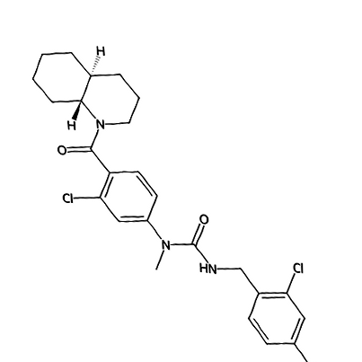 CN(C(=O)NCc1ccc(Cl)cc1Cl)c1ccc(C(=O)N2CCC[C@@H]3CCCC[C@H]32)c(Cl)c1